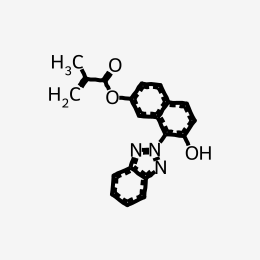 C=C(C)C(=O)Oc1ccc2ccc(O)c(-n3nc4ccccc4n3)c2c1